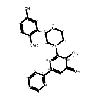 COc1ccc(C#N)cc1[C@H]1CN(c2nc(-c3ccncn3)cc(=O)n2C)CCO1